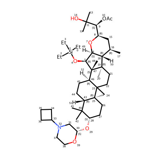 CC[Si](CC)(CC)O[C@H]1[C@H]2O[C@@H]([C@H](OC(C)=O)C(C)(C)O)C[C@@H](C)[C@@H]2[C@@]2(C)CCC34C[C@@]35CC[C@H](O[C@H]3CN(C6CCC6)CCO3)C(C)(C)[C@@H]5CC[C@H]4[C@]12C